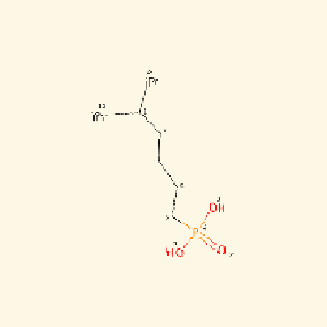 CC(C)C(CCCCP(=O)(O)O)C(C)C